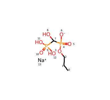 CCCOP(=O)([O-])C(O)P(=O)(O)O.[Na+]